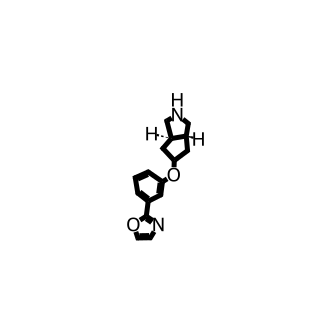 c1cc(OC2C[C@H]3CNC[C@H]3C2)cc(-c2ncco2)c1